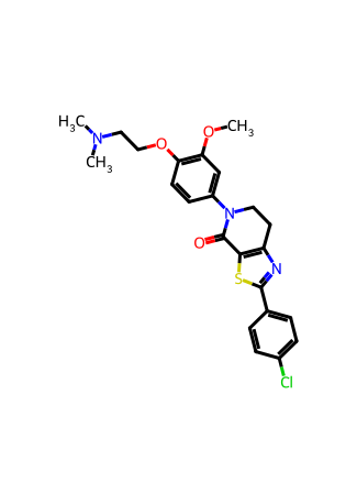 COc1cc(N2CCc3nc(-c4ccc(Cl)cc4)sc3C2=O)ccc1OCCN(C)C